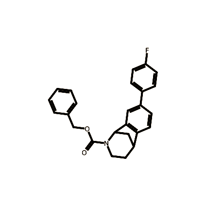 O=C(OCc1ccccc1)N1CCC2CC1c1cc(-c3ccc(F)cc3)ccc12